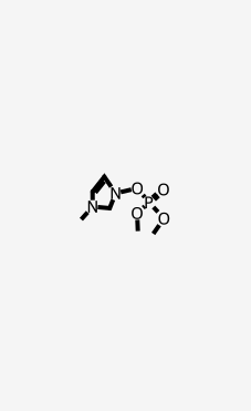 COP(=O)(OC)ON1C=CN(C)C1